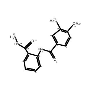 COc1ccc(C(=O)Nc2ccccc2C(=O)NN)cc1OC